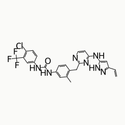 C=Cc1cc(Nc2ccnc(Cc3ccc(NC(=O)Nc4ccc(Cl)c(C(F)(F)F)c4)cc3C)n2)[nH]n1